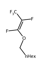 CCCCCCCOC(F)=C(F)C(F)(F)F